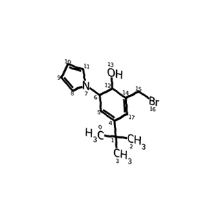 CC(C)(C)C1=CC(n2cccc2)C(O)C(CBr)=C1